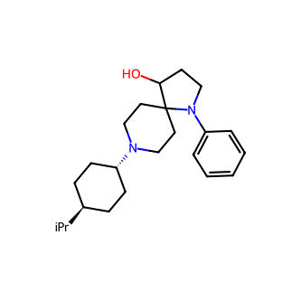 CC(C)[C@H]1CC[C@H](N2CCC3(CC2)C(O)CCN3c2ccccc2)CC1